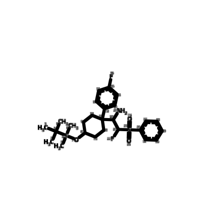 CC(C)(C)[Si](C)(C)OC1CCC(c2ccc(F)cc2)(C(N)C(F)S(=O)(=O)c2ccccc2)CC1